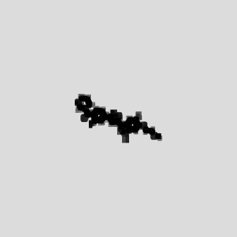 COCCOc1cc2[nH]nc(-c3cc(-c4ccc(C(=O)N5CCCOC5)c(F)c4)no3)c2cc1F